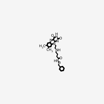 Cc1cc2nc3c(=O)[nH]c(=O)nc-3n(CCNCCCC(=O)NOCc3ccccc3)c2cc1C